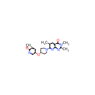 COc1ccc(OC2CCN(c3nc4nc(C)n(C)c(=O)c4cc3C)CC2)cn1